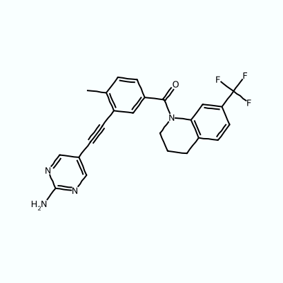 Cc1ccc(C(=O)N2CCCc3ccc(C(F)(F)F)cc32)cc1C#Cc1cnc(N)nc1